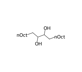 CCCCCCCCCC(O)C(O)CCCCCCCCC